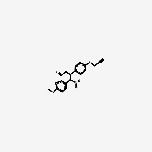 C#CCOc1ccc(C(CC=O)C(c2ccc(OC)cc2)[N+](=O)[O-])cc1